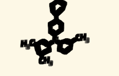 Cc1cccc(N(c2ccc(-c3ccccc3)cc2)c2cc(C)cc(C)c2)c1